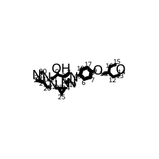 O[C@H](c1cn(-c2ccc(OCC3CCOCC3)cc2)nn1)C1N(C2CC2)Cc2cncn21